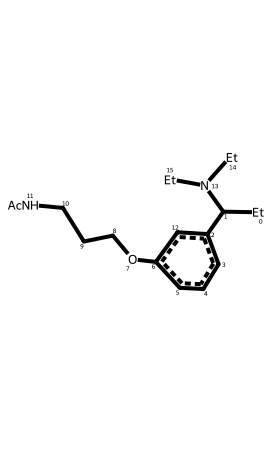 CCC(c1cccc(OCCCNC(C)=O)c1)N(CC)CC